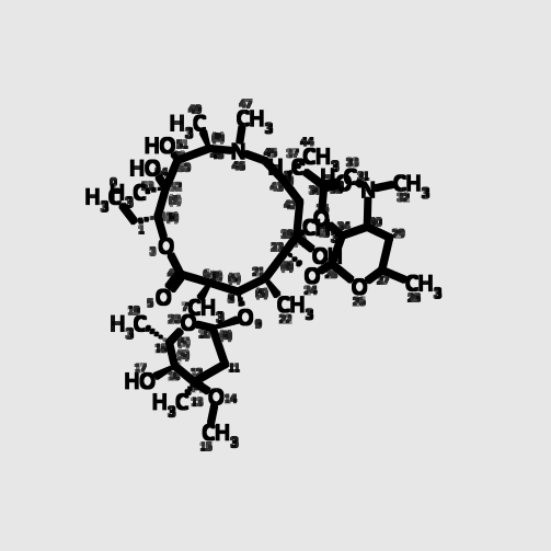 CC[C@H]1OC(=O)[C@H](C)[C@@H](O[C@H]2C[C@@](C)(OC)[C@@H](O)[C@H](C)O2)[C@H](C)[C@@H](OC2OC(C)CC(N(C)C)C2OC(C)=O)[C@](C)(O)C[C@@H](C)CN(C)[C@H](C)[C@@H](O)[C@]1(C)O